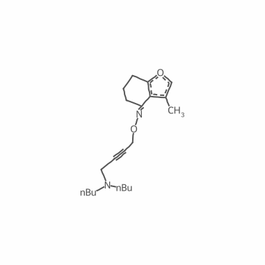 CCCCN(CC#CCO/N=C1\CCCc2occ(C)c21)CCCC